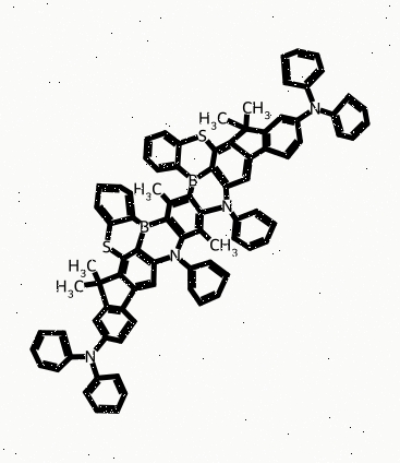 Cc1c2c(c(C)c3c1B1c4ccccc4Sc4c1c(cc1c4C(C)(C)c4cc(N(c5ccccc5)c5ccccc5)ccc4-1)N3c1ccccc1)N(c1ccccc1)c1cc3c(c4c1B2c1ccccc1S4)C(C)(C)c1cc(N(c2ccccc2)c2ccccc2)ccc1-3